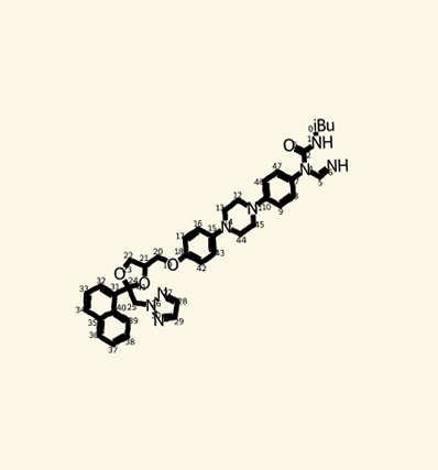 CCC(C)NC(=O)N(C=N)c1ccc(N2CCN(c3ccc(OCC4COC(Cn5nccn5)(c5cccc6ccccc56)O4)cc3)CC2)cc1